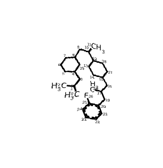 CC(C)CC1CCCC(CC(C)C2CCC(CC(C)Cc3ccccc3F)CC2)C1